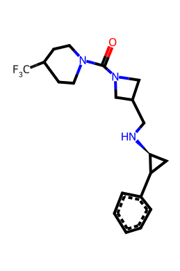 O=C(N1CCC(C(F)(F)F)CC1)N1CC(CN[C@H]2CC2c2ccccc2)C1